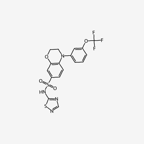 O=S(=O)(Nc1ncns1)c1ccc2c(c1)OCCN2c1cccc(OC(F)(F)F)c1